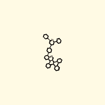 c1ccc(-c2cc(-c3ccc(-c4cccc5c4ncc4c5c5ccccc5c5c6ccccc6c6ccccc6c45)cc3)cc(-c3ccccc3)n2)cc1